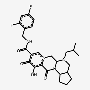 CC(C)CN1CC2CCCC2N2C(=O)c3c(O)c(=O)c(C(=O)NCc4ccc(F)cc4F)cn3CC12